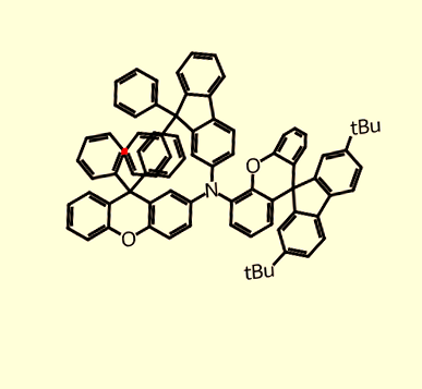 CC(C)(C)c1ccc2c(c1)C1(c3ccccc3Oc3c(N(c4ccc5c(c4)C(c4ccccc4)(c4ccccc4)c4ccccc4O5)c4ccc5c(c4)C(c4ccccc4)(c4ccccc4)c4ccccc4-5)cccc31)c1cc(C(C)(C)C)ccc1-2